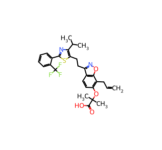 C=CCc1c(OC(C)(C)C(=O)O)ccc2c(CCc3sc(-c4ccccc4C(F)(F)F)nc3C(C)C)noc12